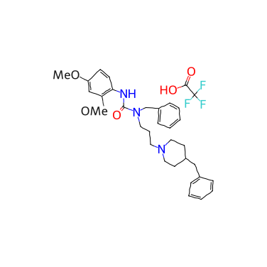 COc1ccc(NC(=O)N(CCCN2CCC(Cc3ccccc3)CC2)Cc2ccccc2)c(OC)c1.O=C(O)C(F)(F)F